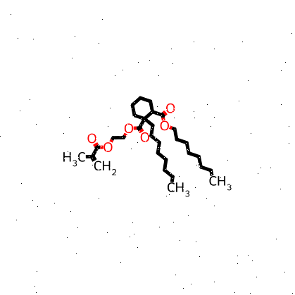 C=C(C)C(=O)OCCOC(=O)C1(CCCCCCCC)CCCCC1C(=O)OCCCCCCCC